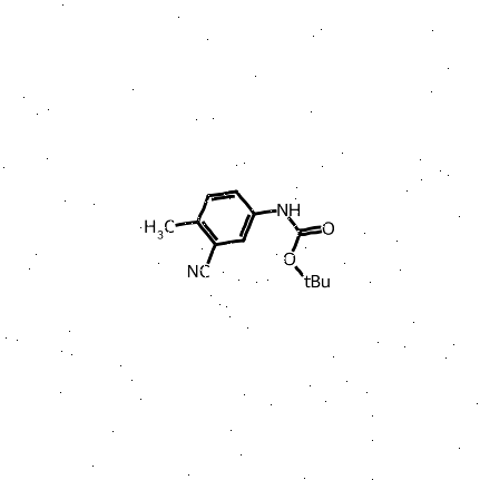 Cc1ccc(NC(=O)OC(C)(C)C)cc1C#N